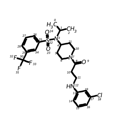 CC(C)N(C1CCN(C(=O)CCNc2cccc(Cl)c2)CC1)S(=O)(=O)c1cccc(C(F)(F)F)c1